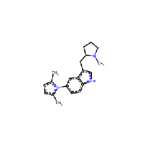 Cc1ccc(C)n1-c1ccc2[nH]cc(CC3CCCN3C)c2c1